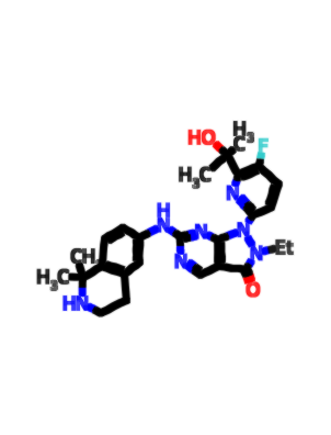 CCn1c(=O)c2cnc(Nc3ccc4c(c3)CCNC4(C)C)nc2n1-c1ccc(F)c(C(C)(C)O)n1